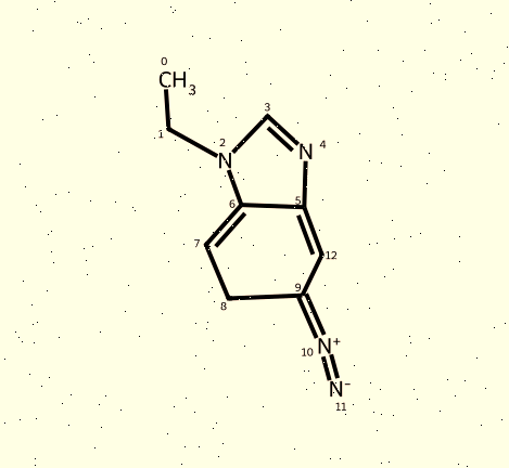 CCn1cnc2c1=CCC(=[N+]=[N-])C=2